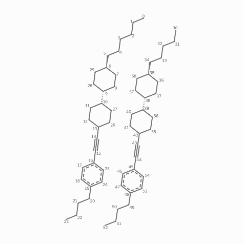 CCCCCC[C@H]1CC[C@H](C2CCC(C#Cc3ccc(CCCC)cc3)CC2)CC1.CCCCC[C@H]1CC[C@H](C2CCC(C#Cc3ccc(CCCC)cc3)CC2)CC1